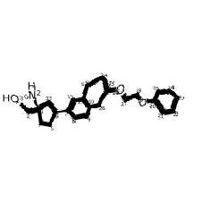 N[C@]1(CO)CC[C@H](c2ccc3c(c2)CCC(OCCOc2ccccc2)C3)C1